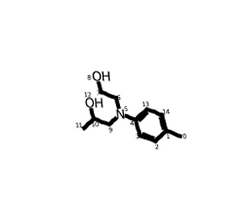 Cc1ccc(N(CCO)CC(C)O)cc1